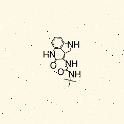 CC(C)(C)NC(=O)NCC12CNc3cccc(c31)NC(=O)C2